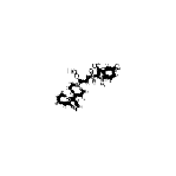 Cl.O=C(CCS(=O)(=O)c1[nH]c2ccc(Cl)cc2c1Cl)N1CCC(c2cnc3ccccn23)CC1